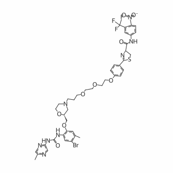 Cc1cnc(NC(=O)Nc2cc(Br)c(C)cc2OC[C@@H]2CN(CCCOCCOCCOc3ccc(C4=NC(C(=O)Nc5ccc([N+](=O)[O-])c(C(F)(F)F)c5)CS4)cc3)CCO2)cn1